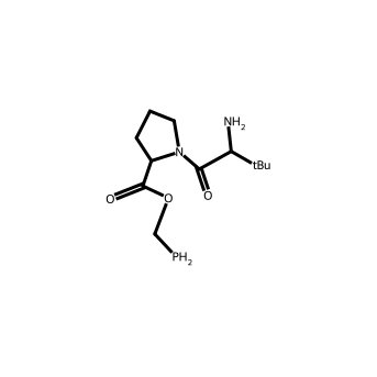 CC(C)(C)C(N)C(=O)N1CCCC1C(=O)OCP